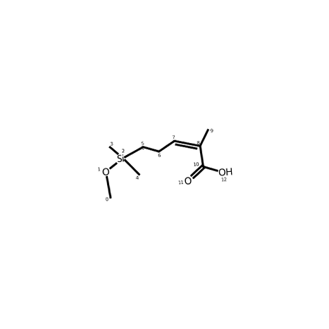 CO[Si](C)(C)[CH]CC=C(C)C(=O)O